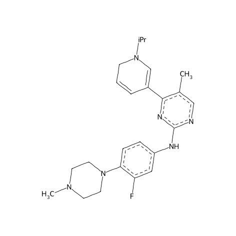 Cc1cnc(Nc2ccc(N3CCN(C)CC3)c(F)c2)nc1C1=CN(C(C)C)CC=C1